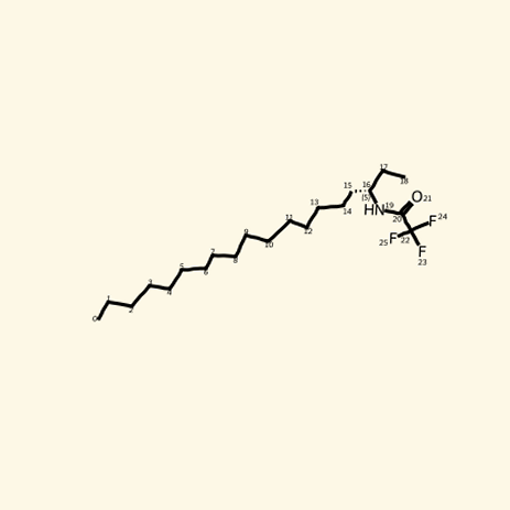 CCCCCCCCCCCCCCCC[C@H](CC)NC(=O)C(F)(F)F